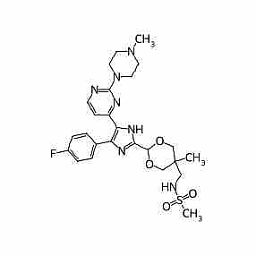 CN1CCN(c2nccc(-c3[nH]c(C4OCC(C)(CNS(C)(=O)=O)CO4)nc3-c3ccc(F)cc3)n2)CC1